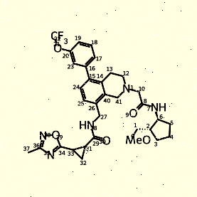 COC[C@H]1CCC[C@@H]1NC(=O)CN1CCc2c(-c3cccc(OC(F)(F)F)c3)ccc(CNC(=O)C3CC3c3nc(C)no3)c2C1